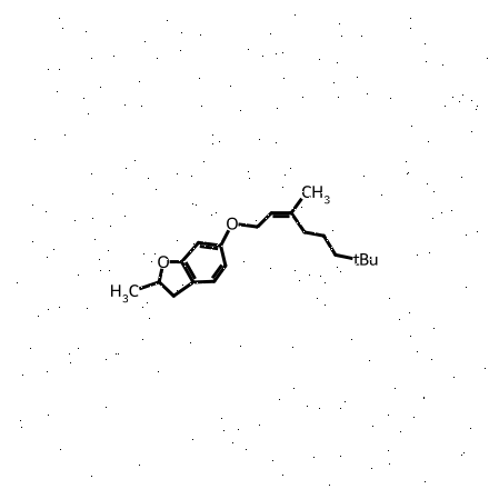 CC(=CCOc1ccc2c(c1)OC(C)C2)CCCC(C)(C)C